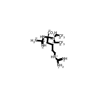 N=C(N)NCCCC[C@@](NC(=N)N)(C(=O)O)N(CC(F)(F)F)CC(F)(F)F